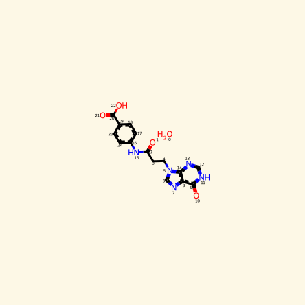 O.O=C(CCn1cnc2c(=O)[nH]cnc21)Nc1ccc(C(=O)O)cc1